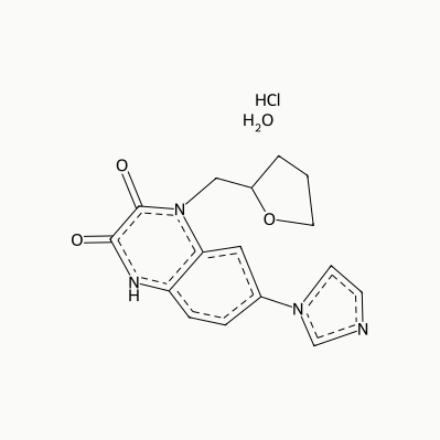 Cl.O.O=c1[nH]c2ccc(-n3ccnc3)cc2n(CC2CCCO2)c1=O